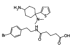 CN(C)C1(c2cccs2)CCC(N)CC1.O=C(O)CCCC(=O)NCCc1ccc(Br)cc1